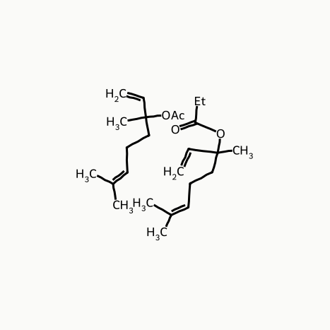 C=CC(C)(CCC=C(C)C)OC(=O)CC.C=CC(C)(CCC=C(C)C)OC(C)=O